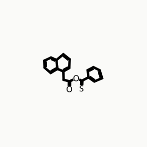 O=C(Cc1cccc2ccccc12)OC(=S)c1ccccc1